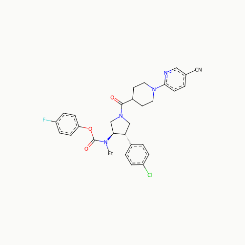 CCN(C(=O)Oc1ccc(F)cc1)[C@H]1CN(C(=O)C2CCN(c3ccc(C#N)cn3)CC2)C[C@@H]1c1ccc(Cl)cc1